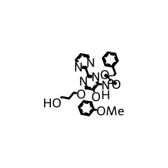 COc1ccccc1Oc1c(NS(=O)(=O)Cc2ccccc2)nc(-c2ncccn2)nc1OCCCO